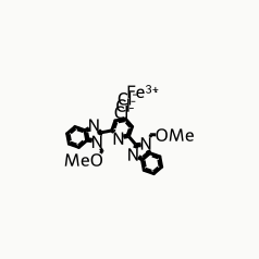 COCn1c(-c2cccc(-c3nc4ccccc4n3COC)n2)nc2ccccc21.[Cl-].[Cl-].[Cl-].[Fe+3]